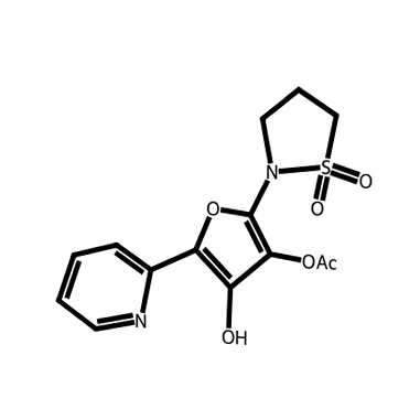 CC(=O)Oc1c(N2CCCS2(=O)=O)oc(-c2ccccn2)c1O